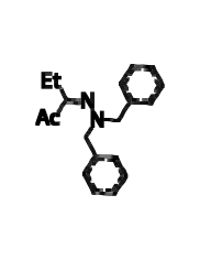 CCC(=NN(Cc1ccccc1)Cc1ccccc1)C(C)=O